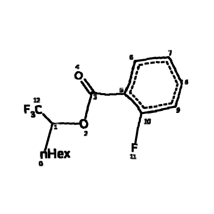 CCCCCCC(OC(=O)c1cc[c]cc1F)C(F)(F)F